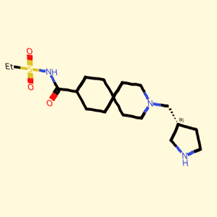 CCS(=O)(=O)NC(=O)C1CCC2(CC1)CCN(C[C@@H]1CCNC1)CC2